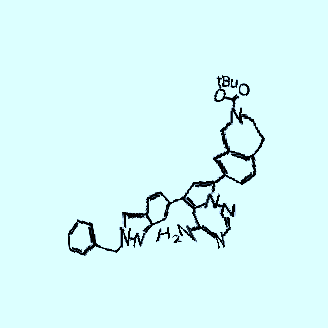 CC(C)(C)OC(=O)N1CCc2ccc(-c3cc(-c4ccc5cn(Cc6ccccc6)nc5c4)c4c(N)ncnn34)cc2C1